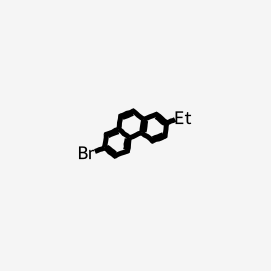 CCc1ccc2c(ccc3cc(Br)ccc32)c1